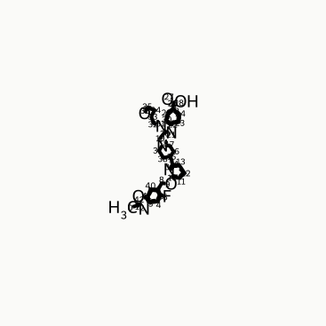 Cc1nc2cc(F)c(COc3cccc(C4CCN(Cc5nc6ccc(C(=O)O)cc6n5CC5CCO5)CC4)n3)cc2o1